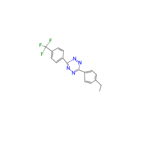 CCc1ccc(-c2nnc(-c3ccc(C(F)(F)F)cc3)nn2)cc1